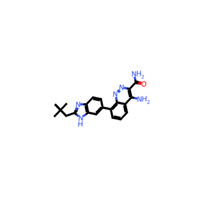 CC(C)(C)Cc1nc2ccc(-c3cccc4c(N)c(C(N)=O)nnc34)cc2[nH]1